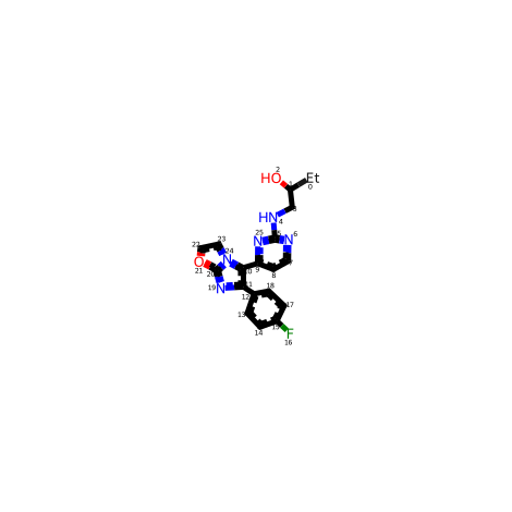 CCC(O)CNc1nccc(-c2c(-c3ccc(F)cc3)nc3occn23)n1